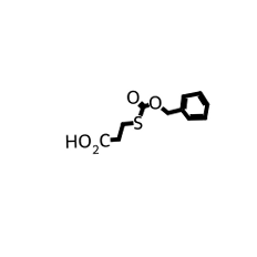 O=C(O)CCSC(=O)OCc1ccccc1